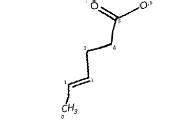 CC=CCCC([O])=O